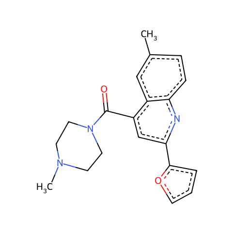 Cc1ccc2nc(-c3ccco3)cc(C(=O)N3CCN(C)CC3)c2c1